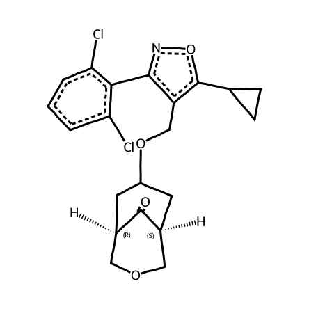 O=C1[C@@H]2COC[C@H]1CC(OCc1c(-c3c(Cl)cccc3Cl)noc1C1CC1)C2